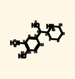 Nc1cc(C(O)C2CCCCN2)ccc1O